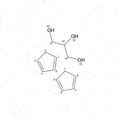 C1=CCC=C1.C1=CCC=C1.OCC(O)CO